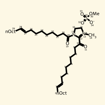 CCCCCCCCC=CCCCCCCCC(=O)C1=[N+](C)CCN1C(=O)CCCCCCCC=CCCCCCCCC.COS(=O)(=O)[O-]